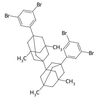 CC12CC3(C)CC(c4cc(Br)cc(Br)c4)(C1)CC(C14CC5(C)CC(C)(CC(c6cc(Br)cc(Br)c6)(C5)C1)C4)(C2)C3